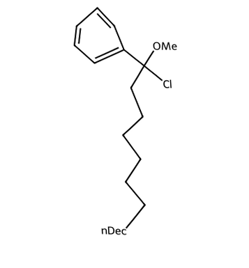 CCCCCCCCCCCCCCCCC(Cl)(OC)c1ccccc1